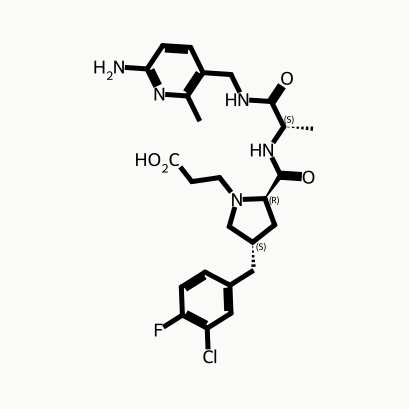 Cc1nc(N)ccc1CNC(=O)[C@H](C)NC(=O)[C@H]1C[C@H](Cc2ccc(F)c(Cl)c2)CN1CCC(=O)O